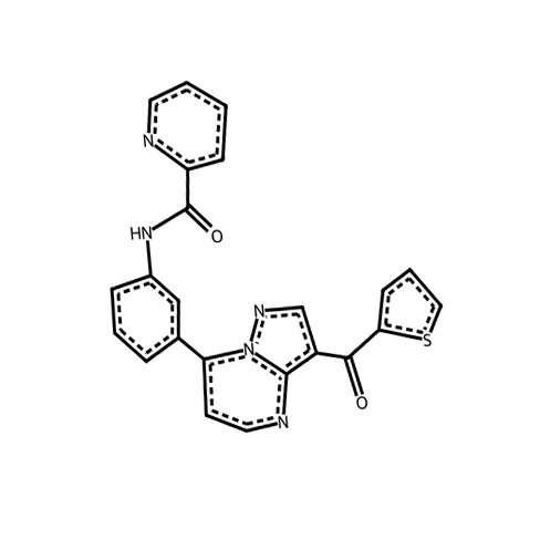 O=C(Nc1cccc(-c2ccnc3c(C(=O)c4cccs4)cnn23)c1)c1ccccn1